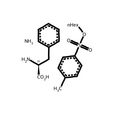 CCCCCCOS(=O)(=O)c1ccc(C)cc1.N.N[C@@H](Cc1ccccc1)C(=O)O